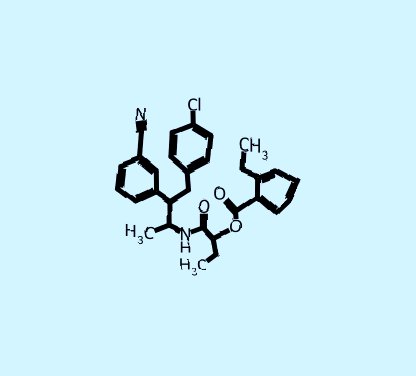 CCc1ccccc1C(=O)OC(CC)C(=O)NC(C)C(Cc1ccc(Cl)cc1)c1cccc(C#N)c1